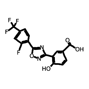 O=C(O)c1ccc(O)c(-c2noc(-c3ccc(C(F)(F)F)cc3F)n2)c1